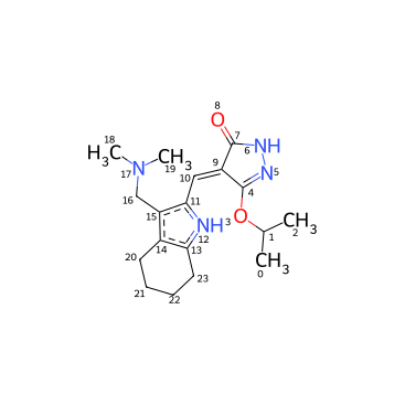 CC(C)OC1=NNC(=O)C1=Cc1[nH]c2c(c1CN(C)C)CCCC2